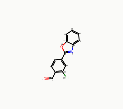 O=Cc1ccc(-c2nc3ccccc3o2)cc1Cl